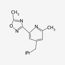 Cc1cc(CC(C)C)cc(-c2noc(C)n2)n1